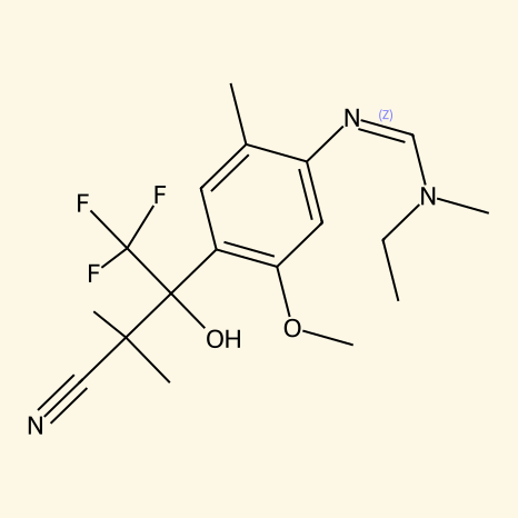 CCN(C)/C=N\c1cc(OC)c(C(O)(C(F)(F)F)C(C)(C)C#N)cc1C